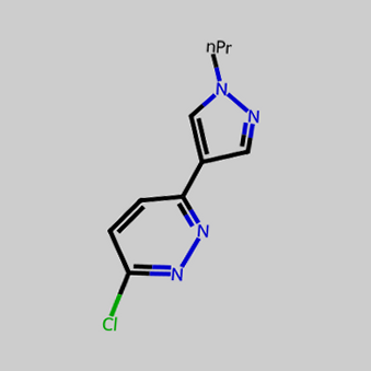 CCCn1cc(-c2ccc(Cl)nn2)cn1